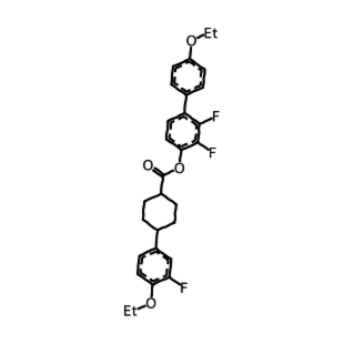 CCOc1ccc(-c2ccc(OC(=O)C3CCC(c4ccc(OCC)c(F)c4)CC3)c(F)c2F)cc1